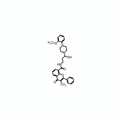 COc1ccccc1N1CCN(C(O)CCNC(=O)c2cccc3c(=O)c(C)c(-c4ccccc4)oc23)CC1